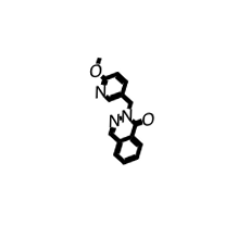 COc1ccc(Cn2ncc3ccccc3c2=O)cn1